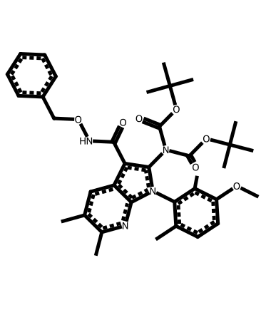 COc1ccc(C)c(-n2c(N(C(=O)OC(C)(C)C)C(=O)OC(C)(C)C)c(C(=O)NOCc3ccccc3)c3cc(C)c(C)nc32)c1C